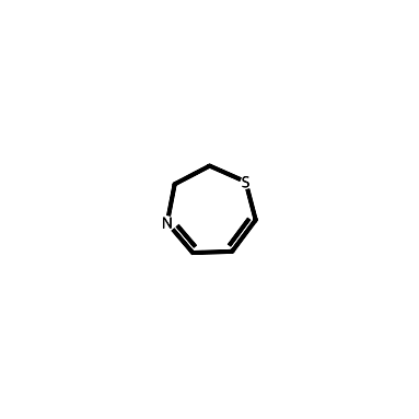 C1=CSCCN=C1